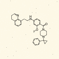 O=C(c1ccc(NCCc2cccc3c2N=CCC3)cc1OI)N1CCN(C2(c3ccccc3)CC2)CC1